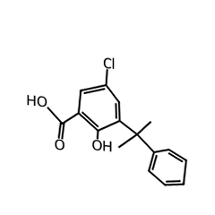 CC(C)(c1ccccc1)c1cc(Cl)cc(C(=O)O)c1O